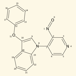 O=Nc1cnccc1-n1cc(Oc2ccccc2)c2ccccc21